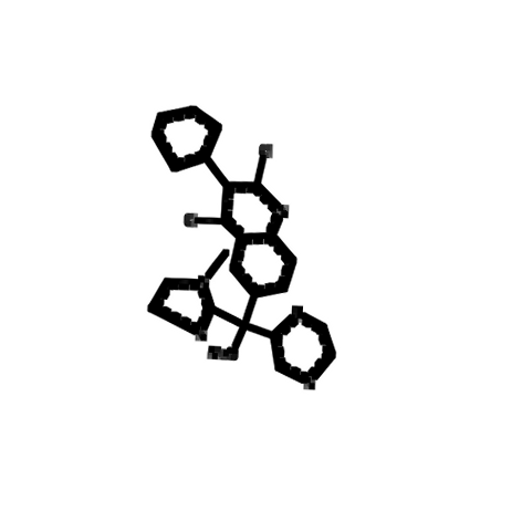 COC(c1ccc2nc(Cl)c(-c3ccccc3)c(Cl)c2c1)(c1cnccn1)c1nccn1C